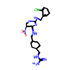 N=C(N)NCC1CCC(CNc2nc(NCc3ccccc3Cl)ncc2[N+](=O)[O-])CC1